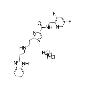 Cl.Cl.Cl.O=C(NCc1ncc(F)cc1F)c1csc(CCNCCc2nc3ccccc3[nH]2)n1